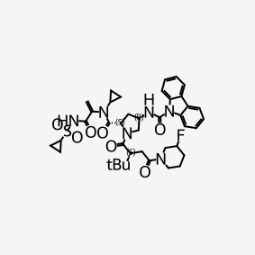 C=C(C(=O)NS(=O)(=O)C1CC1)N(C(=O)[C@@H]1C[C@@H](NC(=O)n2c3ccccc3c3ccccc32)CN1C(=O)[C@@H](CC(=O)N1CCCC(F)C1)C(C)(C)C)C1CC1